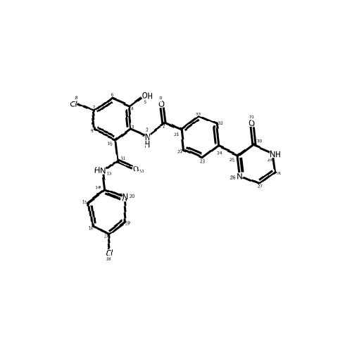 O=C(Nc1c(O)cc(Cl)cc1C(=O)Nc1ccc(Cl)cn1)c1ccc(-c2ncc[nH]c2=O)cc1